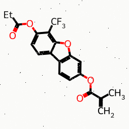 C=C(C)C(=O)Oc1ccc2c(c1)oc1c(C(F)(F)F)c(OC(=O)CC)ccc12